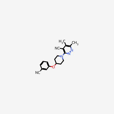 Cc1nnc(N2CCC(Oc3cccc(C#N)c3)CC2)c(C#N)c1C